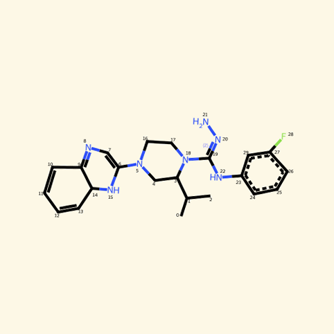 CC(C)C1CN(C2=CN=C3C=CC=CC3N2)CCN1/C(=N\N)Nc1cccc(F)c1